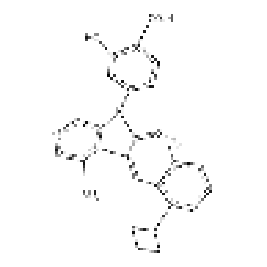 Cc1cccc(C2CCC2)c1/C=C1\C(=O)N(c2ccc(C(=O)O)c(O)c2)c2cccc(C)c21